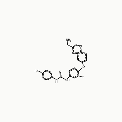 NCc1cnc2ccc(Oc3ccc(NC(=O)Nc4ccc(C(F)(F)F)cc4)cc3F)cc2n1